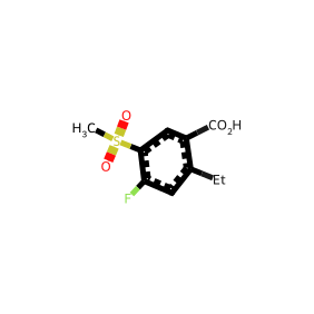 CCc1cc(F)c(S(C)(=O)=O)cc1C(=O)O